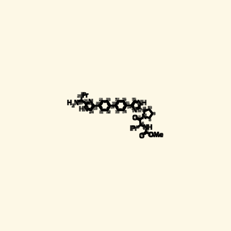 COC(=O)N[C@H](C(=O)N1CCC[C@H]1c1nc(-c2ccc(-c3ccc(-c4c[nH]c([C@@H](N)C(C)C)n4)cc3)cc2)c[nH]1)C(C)C